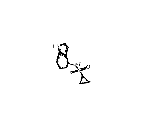 O=S(=O)(Nc1[c]ccc2[nH]ccc12)C1CC1